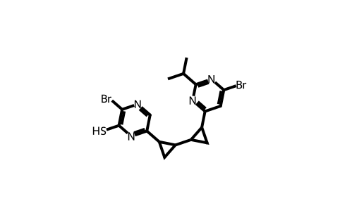 CC(C)c1nc(Br)cc(C2CC2C2CC2c2cnc(Br)c(S)n2)n1